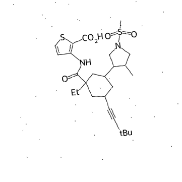 CCC1(C(=O)Nc2ccsc2C(=O)O)CC(C#CC(C)(C)C)CC(C2CN(S(C)(=O)=O)CC2C)C1